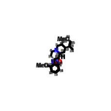 CC[C@@H]1CN2CC[C@@]34OCCO[C@@]3(Nc3cccc(OC)c34)[C@@H]2C[C@@H]1/C(C)=C\OC